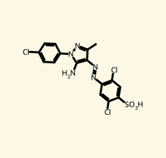 Cc1nn(-c2ccc(Cl)cc2)c(N)c1N=Nc1cc(Cl)c(S(=O)(=O)O)cc1Cl